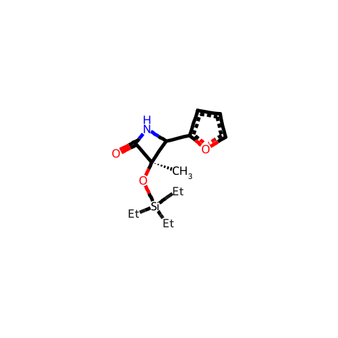 CC[Si](CC)(CC)O[C@@]1(C)C(=O)NC1c1ccco1